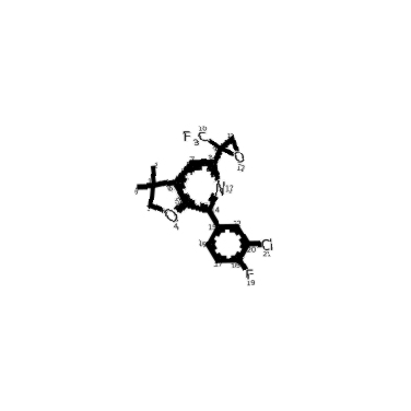 CC1(C)COc2c1cc(C1(C(F)(F)F)CO1)nc2-c1ccc(F)c(Cl)c1